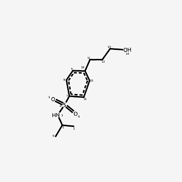 CC(C)NS(=O)(=O)c1ccc(CCCO)cc1